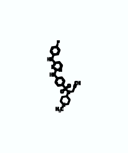 C#CCN(C1CCN(C)CC1)S(=O)(=O)c1ccc(Nc2nccc(Nc3ccc(F)cc3)n2)cc1